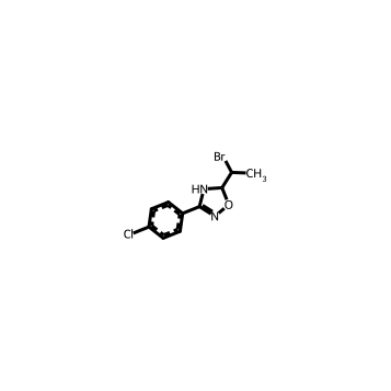 CC(Br)C1NC(c2ccc(Cl)cc2)=NO1